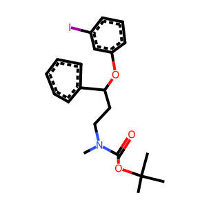 CN(CCC(Oc1cccc(I)c1)c1ccccc1)C(=O)OC(C)(C)C